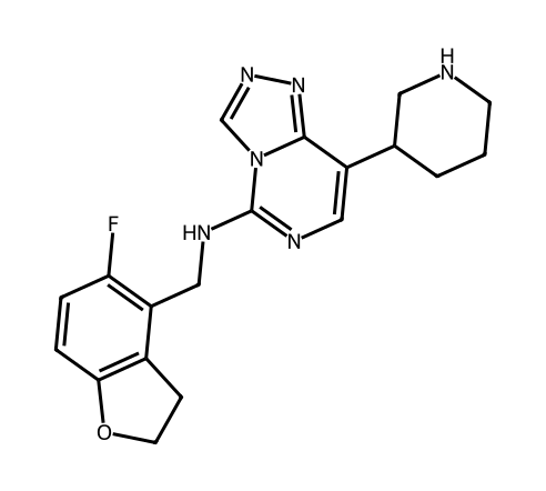 Fc1ccc2c(c1CNc1ncc(C3CCCNC3)c3nncn13)CCO2